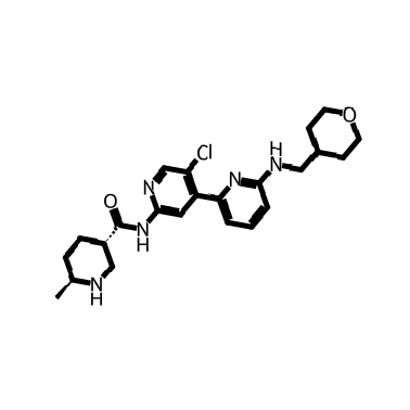 C[C@H]1CC[C@H](C(=O)Nc2cc(-c3cccc(NCC4CCOCC4)n3)c(Cl)cn2)CN1